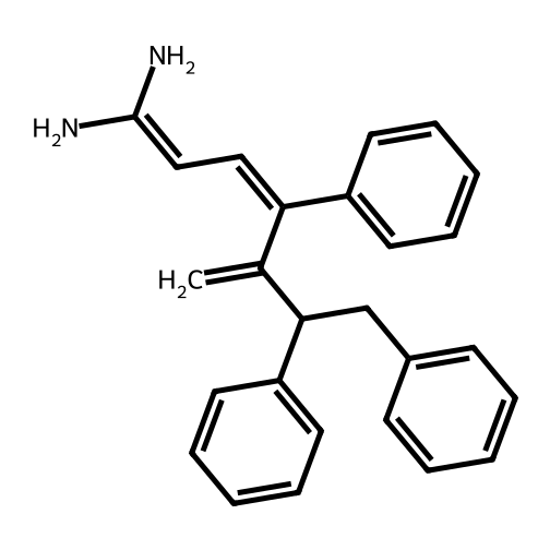 C=C(/C(=C\C=C(N)N)c1ccccc1)C(Cc1ccccc1)c1ccccc1